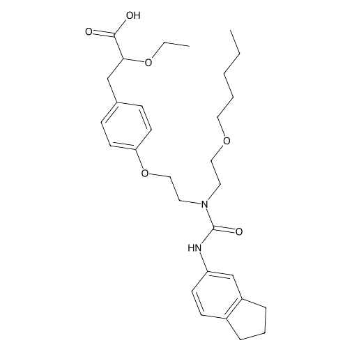 CCCCCOCCN(CCOc1ccc(CC(OCC)C(=O)O)cc1)C(=O)Nc1ccc2c(c1)CCC2